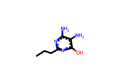 CCCc1nc(N)c(N)c(O)n1